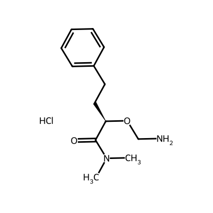 CN(C)C(=O)[C@@H](CCc1ccccc1)OCN.Cl